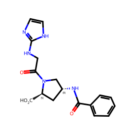 O=C(N[C@@H]1C[C@@H](C(=O)O)N(C(=O)CNc2ncc[nH]2)C1)c1ccccc1